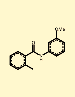 COc1cccc(NC(=O)c2ccccc2C)c1